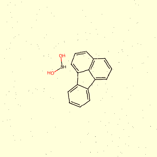 OBO.c1ccc2c(c1)-c1cccc3cccc-2c13